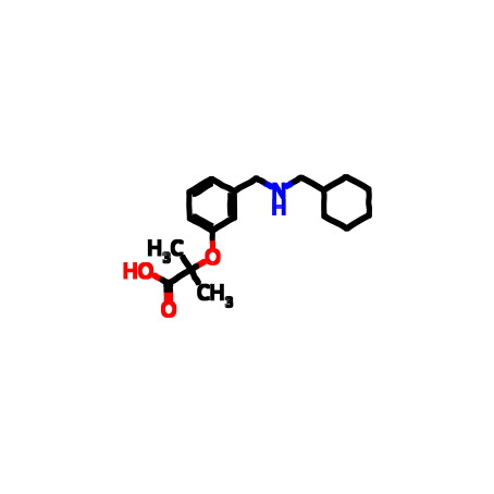 CC(C)(Oc1cccc(CNCC2CCCCC2)c1)C(=O)O